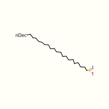 CCCCCCCCCCCCCCCCCCCCCCCCCCCCCCP(I)I